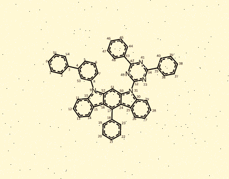 c1ccc(-c2cccc(-n3c4ccccc4c4c(-c5ccccc5)c5c6ccccc6n(-c6nc(-c7ccccc7)nc(-c7ccccc7)n6)c5cc43)c2)cc1